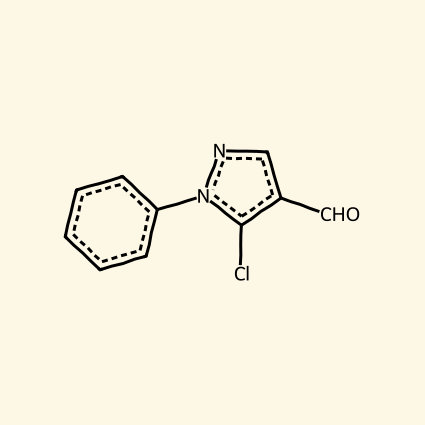 O=Cc1cnn(-c2ccccc2)c1Cl